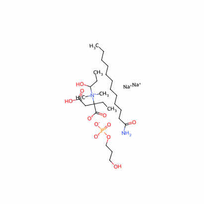 CCC(O)[N+](C)(C)C(CC)(CC(=O)O)C(=O)[O-].CCCCCCCCCCCC(N)=O.O=P([O-])([O-])OCCCO.[Na+].[Na+]